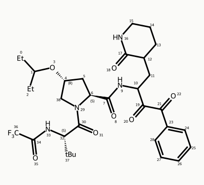 CCC(CC)O[C@@H]1C[C@@H](C(=O)NC(CC2CCCNC2=O)C(=O)C(=O)c2ccccc2)N(C(=O)[C@@H](NC(=O)C(F)(F)F)C(C)(C)C)C1